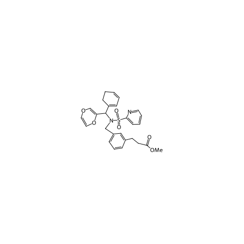 COC(=O)CCc1cccc(CN(C(C2=CC=CCC2)C2=COC=CO2)S(=O)(=O)c2ccccn2)c1